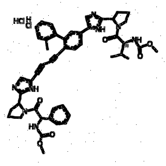 COC(=O)NC(C(=O)N1CCCC1c1ncc(C#CC#Cc2ccc(-c3cnc(C4CCCN4C(=O)[C@@H](NC(=O)OC)C(C)C)[nH]3)cc2-c2ccccc2C)[nH]1)c1ccccc1.Cl.Cl